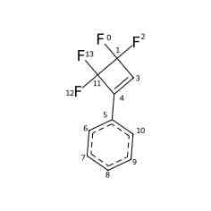 FC1(F)C=C(c2ccccc2)C1(F)F